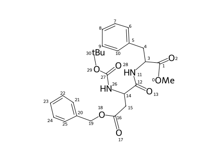 COC(=O)C(Cc1ccccc1)NC(=O)C(CC(=O)OCc1ccccc1)NC(=O)OC(C)(C)C